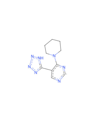 [c]1ncc(-c2nnn[nH]2)c(N2CCCCC2)n1